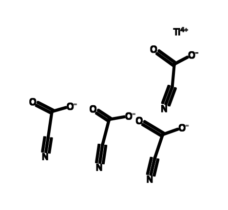 N#CC(=O)[O-].N#CC(=O)[O-].N#CC(=O)[O-].N#CC(=O)[O-].[Ti+4]